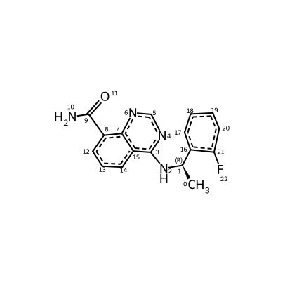 C[C@@H](Nc1ncnc2c(C(N)=O)cccc12)c1ccccc1F